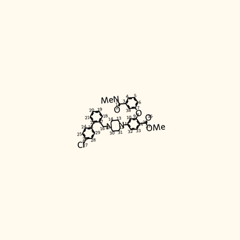 CNC(=O)c1cccc(Oc2cc(N3CCN(Cc4ccccc4-c4ccc(Cl)cc4)CC3)ccc2C(=O)OC)c1